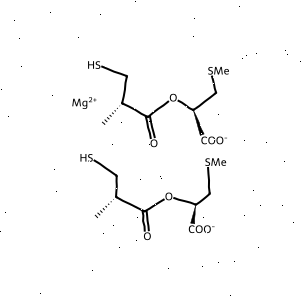 CSC[C@H](OC(=O)[C@H](C)CS)C(=O)[O-].CSC[C@H](OC(=O)[C@H](C)CS)C(=O)[O-].[Mg+2]